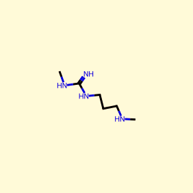 CNCCCNC(=N)NC